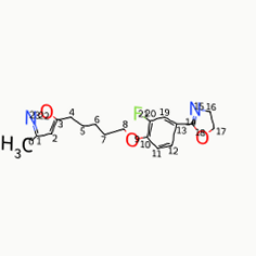 Cc1cc(CCCCCOc2ccc(C3=NCCO3)cc2F)on1